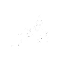 CCCCOC(=O)N1CCN(C(=O)[C@@H](NC(=O)c2cc(OCC(=O)N3CCCC3C(=O)NC3CCC3)c3ccc(C)cc3n2)[C@@H](C)OC)CC1